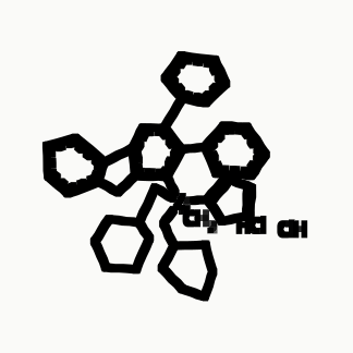 Cl.Cl.[CH2]=[Zr]([CH2]C1CCCCC1)([CH2]C1CCCCC1)([C]1=CC=CC1)[c]1c2c(cc(-c3ccccc3)c1-c1ccccc1)-c1ccccc1C2